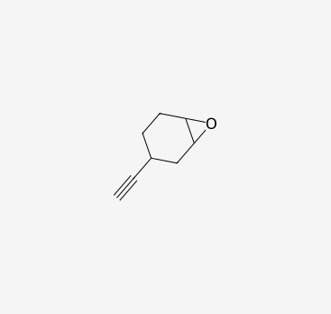 C#CC1CCC2OC2C1